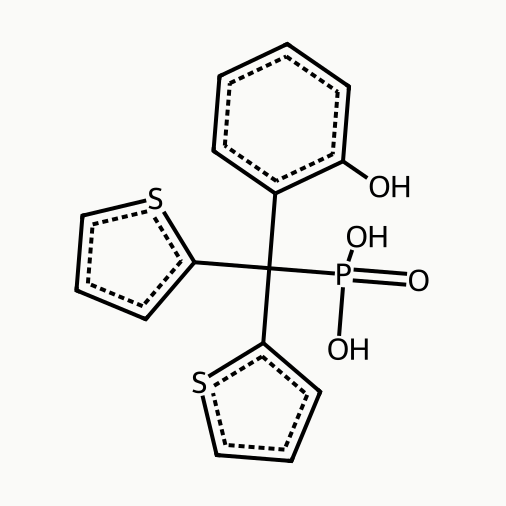 O=P(O)(O)C(c1cccs1)(c1cccs1)c1ccccc1O